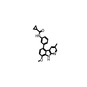 COc1ccc(-c2cccc(NC(=O)C3CC3)c2)c2c1[nH]c1ncc(C)cc12